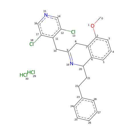 COc1cccc2c1CC(Cc1c(Cl)cncc1Cl)=NC2CCc1ccccc1.Cl.Cl